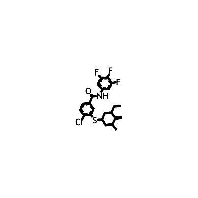 C=C1C(C)CC(Sc2cc(C(=O)Nc3cc(F)c(F)c(F)c3)ccc2Cl)CC1CC